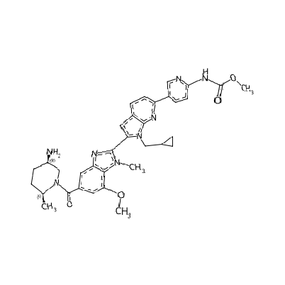 COC(=O)Nc1ccc(-c2ccc3cc(-c4nc5cc(C(=O)N6C[C@H](N)CC[C@@H]6C)cc(OC)c5n4C)n(CC4CC4)c3n2)cn1